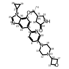 C[C@@H](Oc1cc(-c2ccc(N3CCN(C4COC4)CC3)cn2)cc2ncn(C3CC3)c12)[C@H]1CNC(=O)C1